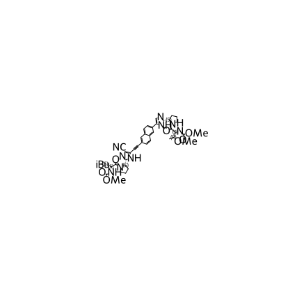 CC[C@H](C)[C@H](NC(=O)OC)C(=O)N1CCC[C@H]1c1nc(C#N)c(C#Cc2ccc3cc(-c4cnc([C@@H]5CCCN5C(=O)[C@@H](NC(=O)OC)[C@@H](C)OC)[nH]4)ccc3c2)[nH]1